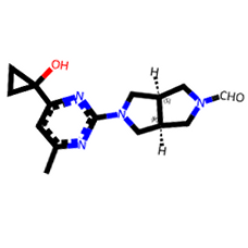 Cc1cc(C2(O)CC2)nc(N2C[C@H]3CN(C=O)C[C@H]3C2)n1